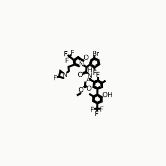 CCOC(=O)C[C@H](NC(=O)C(c1cc(Br)ccc1F)n1cc(CCN2CC(F)C2)c(C(F)(F)F)cc1=O)c1cc(-c2c(C)cc(C(F)(F)F)cc2O)cc(C)c1F